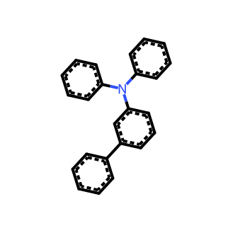 c1ccc(-c2cccc(N(c3ccccc3)c3ccccc3)c2)cc1